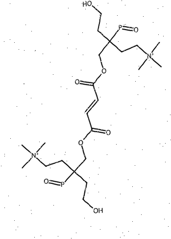 C[N+](C)(C)CCC(CCO)(COC(=O)/C=C/C(=O)OCC(CCO)(CC[N+](C)(C)C)P=O)P=O